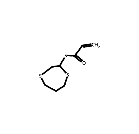 C=CC(=O)SC1CSCCCS1